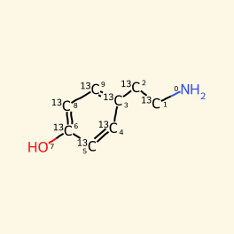 N[13CH2][13CH2][13c]1[13cH][13cH][13c](O)[13cH][13cH]1